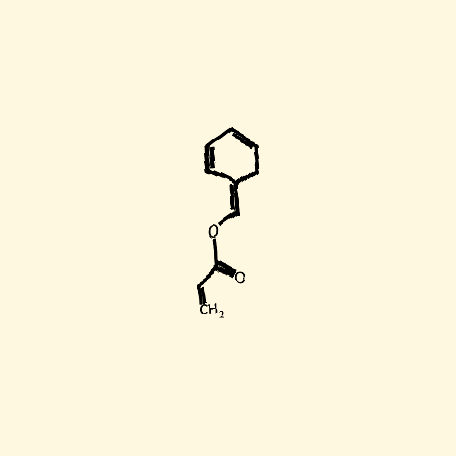 C=CC(=O)OC=C1C=CC=CC1